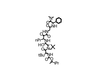 CCCC(N[C@@H](O)[C@@H]1CC(C)(C)CN1C(=O)[C@@H](NC(=O)O[C@H](C)C(C)C)C(C)(C)C)C(=O)C(=O)NCC(=O)N[C@H](C(=O)N(C)C)c1ccccc1